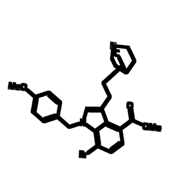 COC(=O)c1ccc(Br)c2c1c(CCC1CN3CCC1CC3)cn2Cc1ccc(OC)cc1